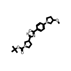 COC1CCN(c2ccc(-c3nc(C4CCN(C(=O)OC(C)(C)C)C4)no3)cc2)C1